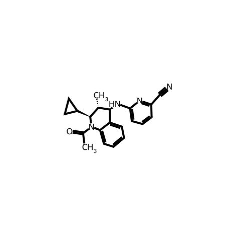 CC(=O)N1c2ccccc2[C@H](Nc2cccc(C#N)n2)[C@@H](C)[C@@H]1C1CC1